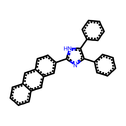 c1ccc(-c2nc(-c3ccc4cc5ccccc5cc4c3)[nH]c2-c2ccccc2)cc1